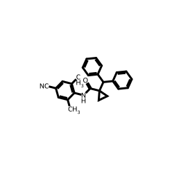 Cc1cc(C#N)cc(C)c1NC(=O)C1(C(c2ccccc2)c2ccccc2)CC1